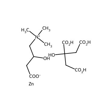 C[N+](C)(C)CC(O)CC(=O)[O-].O=C(O)CC(O)(CC(=O)O)C(=O)O.[Zn]